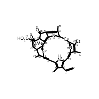 C=Cc1c2[nH]c(c1C)/C=C1\N=C(C3=C4NC(CC5=N/C(=C\2)C(C)=C5CC)C(C)=C4C(=O)C3C(=O)OC)C(CCC(=O)O)C1C